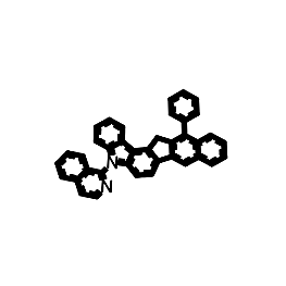 c1ccc(-c2c3c(cc4ccccc24)-c2ccc4c(c2C3)c2ccccc2n4-c2nccc3ccccc23)cc1